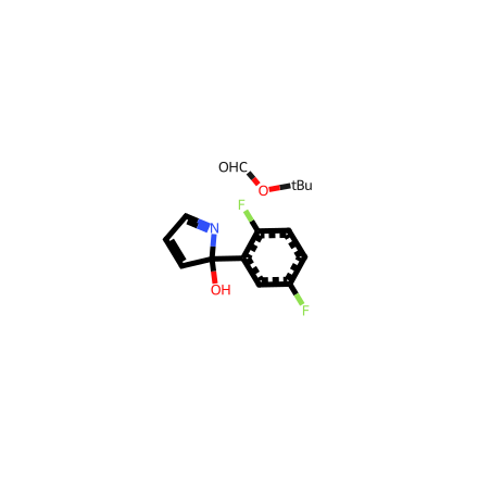 CC(C)(C)OC=O.OC1(c2cc(F)ccc2F)C=CC=N1